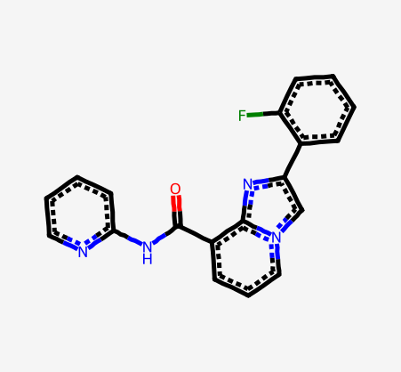 O=C(Nc1ccccn1)c1cccn2cc(-c3ccccc3F)nc12